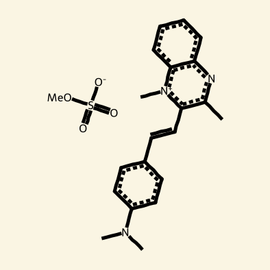 COS(=O)(=O)[O-].Cc1nc2ccccc2[n+](C)c1C=Cc1ccc(N(C)C)cc1